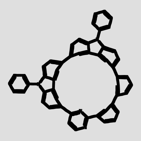 c1ccc(-n2c3ccc4cc3c3cc(ccc32)c2ccc3c(c2)c2cc(ccc2n3-c2ccccc2)c2ccnc(n2)c2cccc(c2)c2cccc4c2)cc1